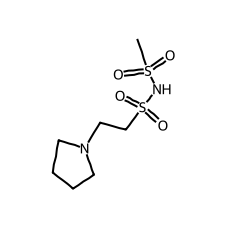 CS(=O)(=O)NS(=O)(=O)CCN1CCCC1